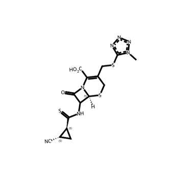 Cn1nnnc1SCC1=C(C(=O)O)N2C(=O)C(NC(=S)[C@H]3C[C@@H]3C#N)[C@@H]2SC1